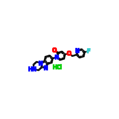 Cl.O=c1cc(OCc2ccc(F)cn2)ccn1-c1ccc2c(c1)nc1n2CCNC1